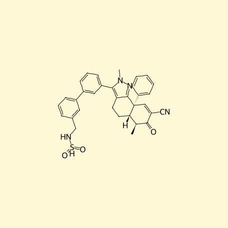 C[C@@H]1C(=O)C(C#N)=C[C@]2(c3ccccc3)c3nn(C)c(-c4cccc(-c5cccc(CN[SH](=O)=O)c5)c4)c3CC[C@@H]12